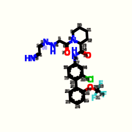 N=C/C=N\NCC(=O)N1CCCCC1C(=O)Nc1ccc(-c2ccccc2OC(F)(F)F)c(Cl)c1